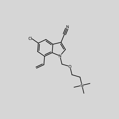 C=Cc1cc(Cl)cc2c(C#N)cn(COCC[Si](C)(C)C)c12